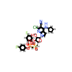 N#Cc1c(Cl)nc2c(ccn2[C@@H]2O[C@H](CS(=O)(=O)CP(=O)(Oc3ccc(F)cc3)Oc3ccc(F)cc3)[C@@H](O)[C@H]2O)c1NC1CCCC1